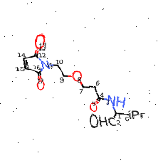 CC(C)C(C=O)NC(=O)CCOCCN1C(=O)C=CC1=O